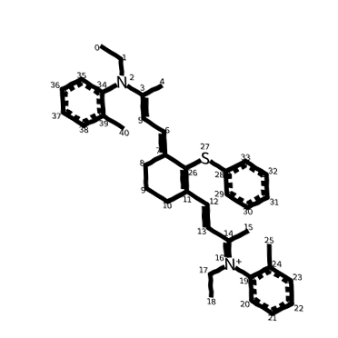 CCN(/C(C)=C/C=C1\CCCC(/C=C/C(C)=[N+](\CC)c2ccccc2C)=C1Sc1ccccc1)c1ccccc1C